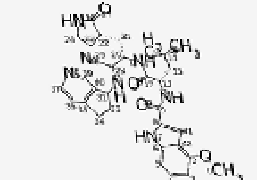 COc1cccc2[nH]c(C(=O)N[C@@H](CC(C)C)C(=O)N[C@@H](C[C@@H]3CCNC3=O)C(C#N)NC3CCc4ccncc43)cc12